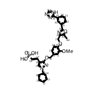 COc1cc(COc2nn(-c3ccccc3)cc2/C=C/P(=O)(O)O)ccc1OCc1nc(-c2cccc(-c3nnn[nH]3)c2)oc1C